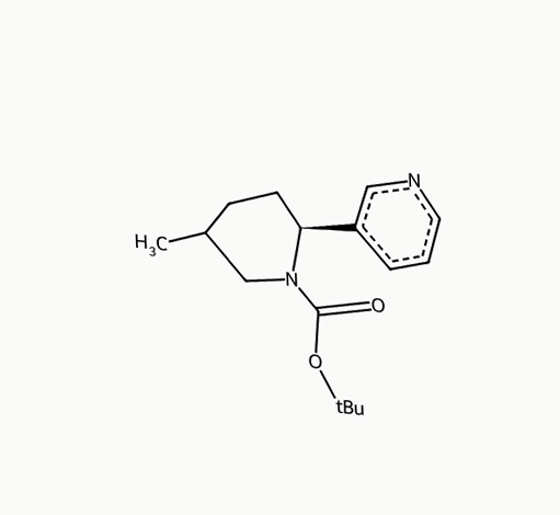 CC1CC[C@@H](c2cccnc2)N(C(=O)OC(C)(C)C)C1